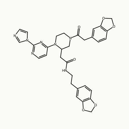 O=C(CC1CN(C(=O)Cc2ccc3c(c2)OCO3)CCN1c1ccnc(-n2ccnc2)n1)NCCc1ccc2c(c1)OCO2